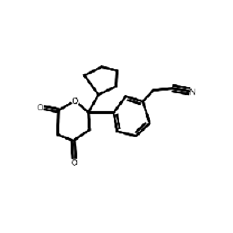 N#CCc1cccc(C2(C3CCCC3)CC(=O)CC(=O)O2)c1